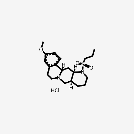 CCCS(=O)(=O)N1CCC[C@@H]2CN3CCc4cc(OC)ccc4[C@@H]3C[C@@H]21.Cl